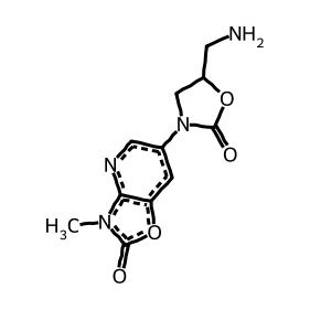 Cn1c(=O)oc2cc(N3CC(CN)OC3=O)cnc21